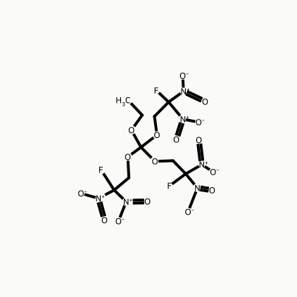 CCOC(OCC(F)([N+](=O)[O-])[N+](=O)[O-])(OCC(F)([N+](=O)[O-])[N+](=O)[O-])OCC(F)([N+](=O)[O-])[N+](=O)[O-]